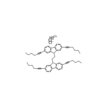 CCCCC#Cc1ccc2c(c1)C(CCC1c3cc(C#CCCCC)ccc3-c3ccc(C#CCCCC)cc31)c1cc(C#CCCCC)ccc1-2.[Cl-].[Cl-].[Hf+2]